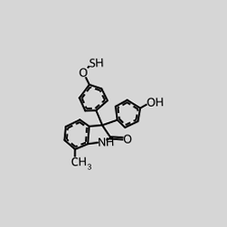 Cc1cccc2c1NC(=O)C2(c1ccc(O)cc1)c1ccc(OS)cc1